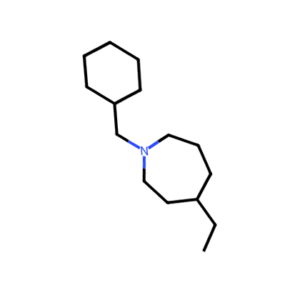 CCC1CCCN(CC2CCCCC2)CC1